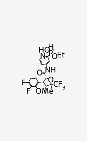 CCO[PH](C)(O)c1cc(NC(=O)[C@@H]2O[C@@](C)(C(F)(F)F)[C@@H](C)[C@H]2c2ccc(F)c(F)c2OC)ccn1